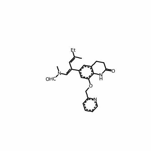 CC/C(C)=C/C(=C\N(C)C=O)c1cc2c(c(OCc3ccccn3)c1)NC(=O)CC2